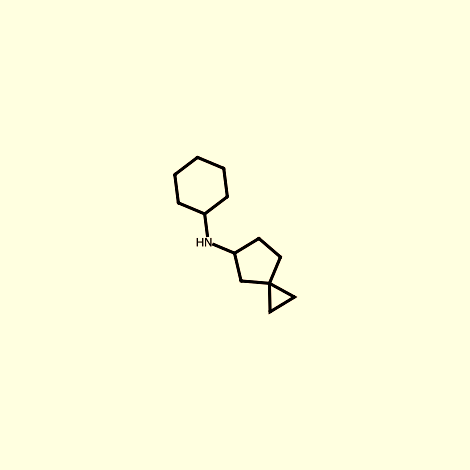 C1CCC(NC2CCC3(CC3)C2)CC1